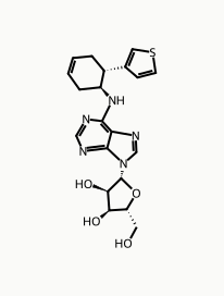 OC[C@H]1O[C@@H](n2cnc3c(N[C@H]4CC=CC[C@@H]4c4ccsc4)ncnc32)[C@H](O)[C@@H]1O